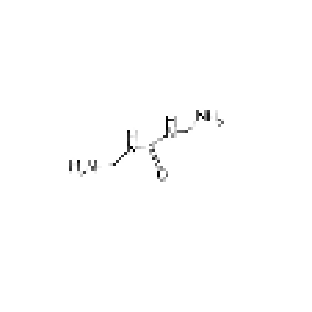 NCNC(=O)NCN